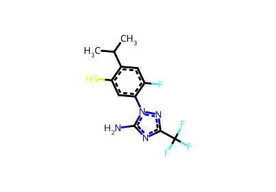 CC(C)c1cc(F)c(-n2nc(C(F)(F)F)nc2N)cc1S